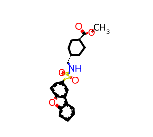 COC(=O)[C@H]1CC[C@H](CNS(=O)(=O)c2ccc3oc4ccccc4c3c2)CC1